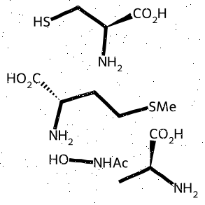 CC(=O)NO.CSCC[C@H](N)C(=O)O.C[C@H](N)C(=O)O.N[C@@H](CS)C(=O)O